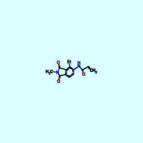 C=CC(=O)Nc1ccc2c(c1CC)C(=O)N(C)C2=O